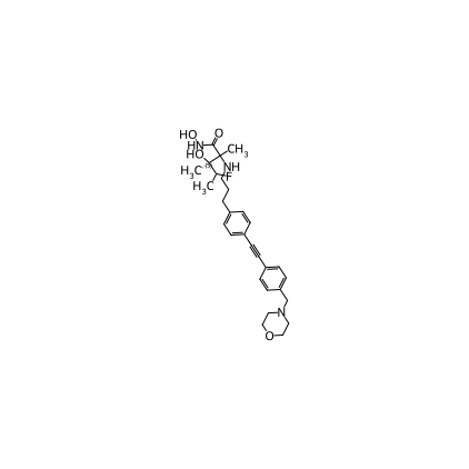 CC(F)[C@@](C)(O)C(C)(NCCCc1ccc(C#Cc2ccc(CN3CCOCC3)cc2)cc1)C(=O)NO